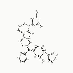 Clc1cc(Cl)cc(-c2cccc3c2oc2cc(N(c4ccccc4)c4ccc5c(c4)oc4ccccc45)ccc23)c1